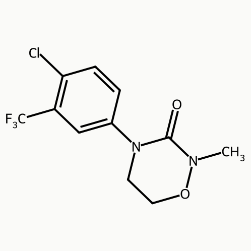 CN1OCCN(c2ccc(Cl)c(C(F)(F)F)c2)C1=O